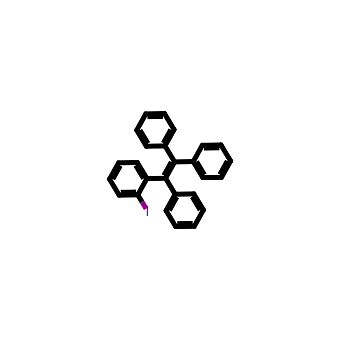 Ic1ccccc1C(=C(c1ccccc1)c1ccccc1)c1ccccc1